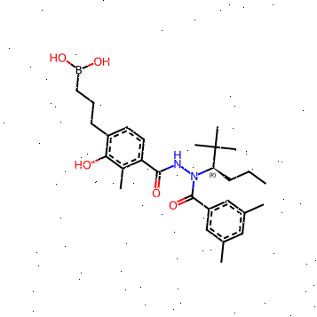 CCC[C@@H](N(NC(=O)c1ccc(CCCB(O)O)c(O)c1C)C(=O)c1cc(C)cc(C)c1)C(C)(C)C